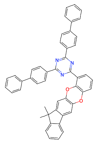 CC1(C)c2ccccc2-c2cc3c(cc21)Oc1c(cccc1-c1nc(-c2ccc(-c4ccccc4)cc2)nc(-c2ccc(-c4ccccc4)cc2)n1)O3